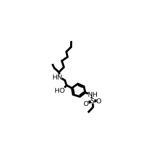 CCCCCCC(CC)NCC(O)c1ccc(NS(=O)(=O)CC)cc1